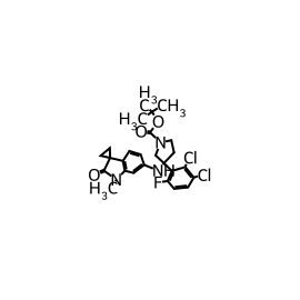 CN1C(=O)C2(CC2)c2ccc(NC3(c4c(F)ccc(Cl)c4Cl)CCN(C(=O)OC(C)(C)C)C3)cc21